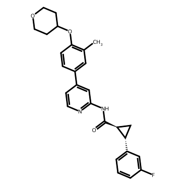 Cc1cc(-c2ccnc(NC(=O)[C@H]3C[C@@H]3c3cccc(F)c3)c2)ccc1OC1CCOCC1